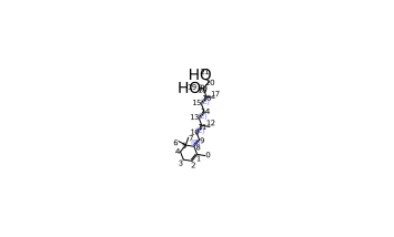 CC1=CCCC(C)(C)\C1=C/C=C(C)/C=C/C=C(\C)[C@@H](O)CO